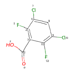 O=C(O)c1c(F)c(Cl)cc(Cl)c1F